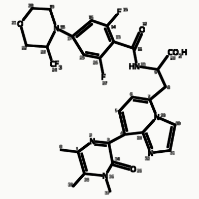 Cc1nc(-c2ccc(CC(NC(=O)c3c(F)cc(N4CCOCC4C(F)(F)F)cc3F)C(=O)O)n3ccnc23)c(=O)n(C)c1C